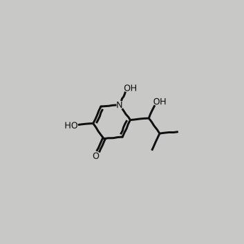 CC(C)C(O)c1cc(=O)c(O)cn1O